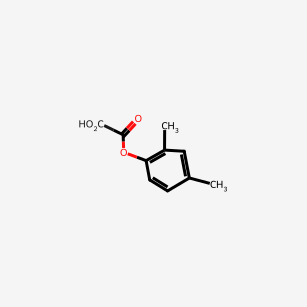 Cc1ccc(OC(=O)C(=O)O)c(C)c1